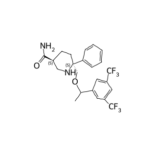 CC(OC[C@@]1(c2ccccc2)CC[C@H](C(N)=O)CN1)c1cc(C(F)(F)F)cc(C(F)(F)F)c1